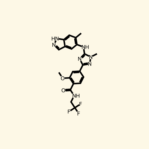 COc1cc(-c2nc(Nc3cc4cn[nH]c4cc3C)n(C)n2)ccc1C(=O)NCC(F)(F)F